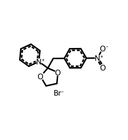 O=[N+]([O-])c1ccc(CC2([n+]3ccccc3)OCCO2)cc1.[Br-]